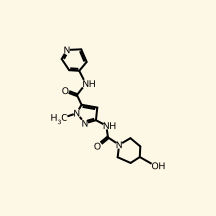 Cn1nc(NC(=O)N2CCC(O)CC2)cc1C(=O)Nc1ccncc1